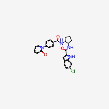 O=C(N[C@H]1CCC[C@H]1NC(=O)c1cc2ccc(Cl)cc2[nH]1)c1ccc(-n2ccccc2=O)cc1